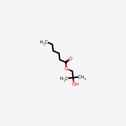 CCCCCC(=O)OCC(C)(C)O